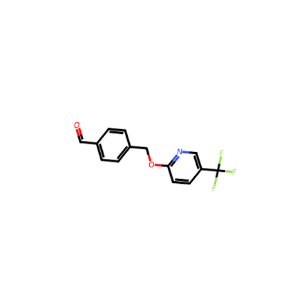 O=Cc1ccc(COc2ccc(C(F)(F)F)cn2)cc1